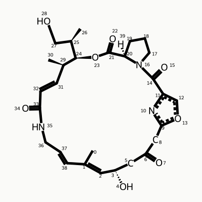 CC1=C\[C@@H](O)CC(=O)Cc2nc(co2)C(=O)N2CCC[C@@H]2C(=O)O[C@H]([C@H](C)CO)[C@H](C)/C=C/C(=O)NC\C=C\1